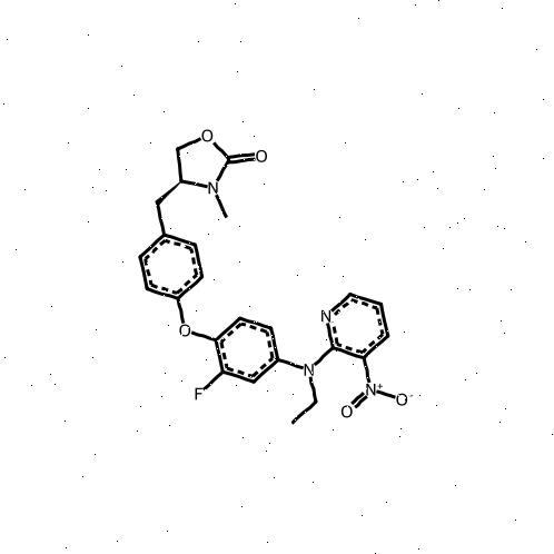 CCN(c1ccc(Oc2ccc(C[C@H]3COC(=O)N3C)cc2)c(F)c1)c1ncccc1[N+](=O)[O-]